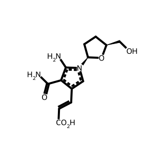 NC(=O)c1c(/C=C/C(=O)O)cn([C@H]2CC[C@@H](CO)O2)c1N